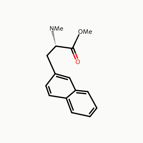 CN[C@@H](Cc1ccc2ccccc2c1)C(=O)OC